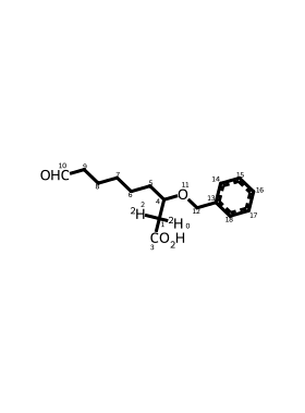 [2H]C([2H])(C(=O)O)C(CCCCCC=O)OCc1ccccc1